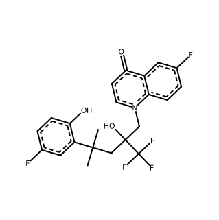 CC(C)(CC(O)(Cn1ccc(=O)c2cc(F)ccc21)C(F)(F)F)c1cc(F)ccc1O